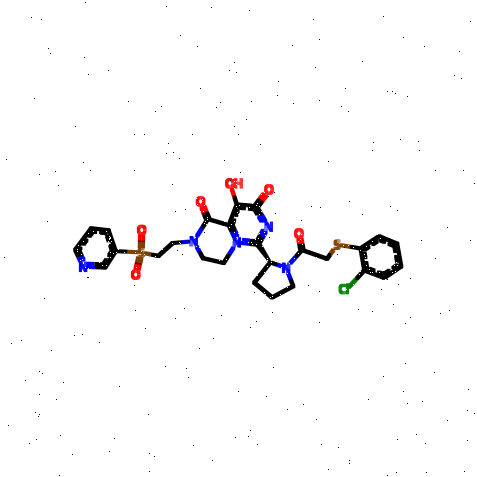 O=C1c2c(O)c(=O)nc([C@@H]3CCCN3C(=O)CSc3ccccc3Cl)n2CCN1CCS(=O)(=O)c1cccnc1